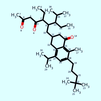 CCC(C(=O)CC(C)=O)C(CC1CC(=O)c2c(C)c(CCCC(C)(C)C)cc(C(C)C)c2C1)C(CC)C(C)C